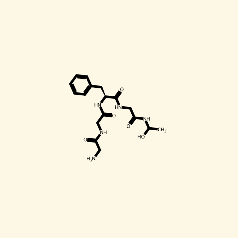 [CH2]C(O)NC(=O)CNC(=O)[C@H](Cc1ccccc1)NC(=O)CNC(=O)CN